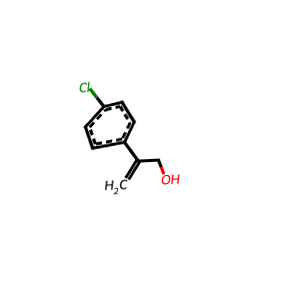 C=C(CO)c1ccc(Cl)cc1